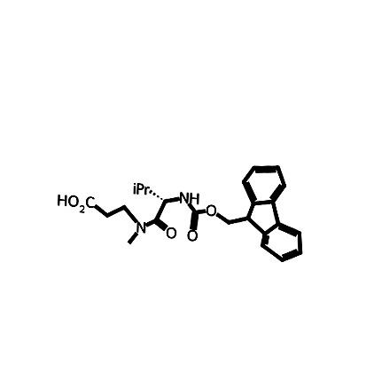 CC(C)[C@H](NC(=O)OCC1c2ccccc2-c2ccccc21)C(=O)N(C)CCC(=O)O